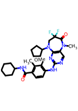 COc1c(Nc2ncc3c(n2)N(C2CCCC2)CC(F)(F)C(=O)N3C)ccc(C(=O)NC2CCCCC2)c1C